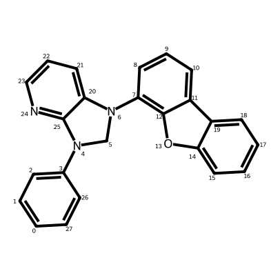 c1ccc(N2CN(c3cccc4c3oc3ccccc34)c3cccnc32)cc1